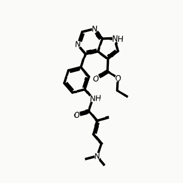 CCOC(=O)c1c[nH]c2ncnc(-c3cccc(NC(=O)/C(C)=C/CN(C)C)c3)c12